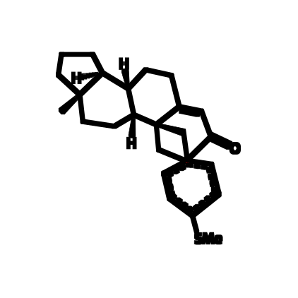 CSc1ccc(C[C@]23CCC(=O)C=C2CC[C@@H]2[C@H]3CC[C@]3(C)CCC[C@@H]23)cc1